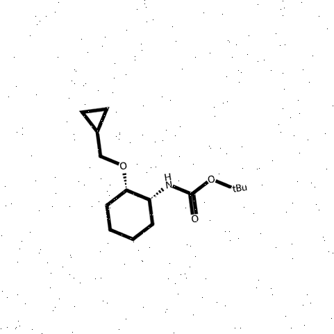 CC(C)(C)OC(=O)N[C@@H]1CCCC[C@@H]1OCC1CC1